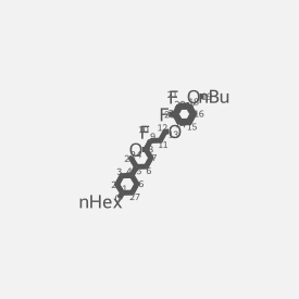 CCCCCCC1CCC(C2CCC(C(F)CCOc3ccc(OCCCC)c(F)c3F)OC2)CC1